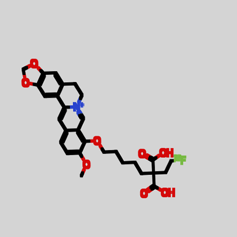 COc1ccc2cc3[n+](cc2c1OCCCCCC(CC[18F])(C(=O)O)C(=O)O)CCc1cc2c(cc1-3)OCO2